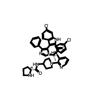 C[C@@H](c1ccc(Cl)cc1)n1cnc(-c2ccccc2)c1-c1c(C(=O)Nc2cccnc2N2CCC(NC(=O)[C@H]3CCCN3)CC2)[nH]c2cc(Cl)ccc12